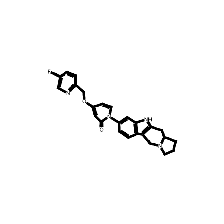 O=c1cc(OCc2ccc(F)cn2)ccn1-c1ccc2c3c([nH]c2c1)CC1CCCN1C3